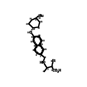 CCC(C(=O)O)C(C)NCc1ccc2cc(O[C@H]3CC[C@H](C(C)(C)C)CC3)ccc2c1